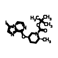 C[C@@H]1CC[C@@H](Oc2nccn3c(I)cnc23)CN1C(=O)OC(C)(C)C